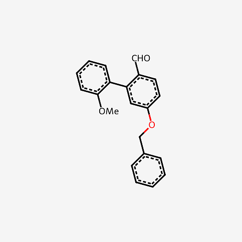 COc1ccccc1-c1cc(OCc2ccccc2)ccc1C=O